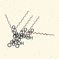 CCCCCCCCCCCCCC(=O)O[C@H](CCCCCCCCCCC)CC(=O)N[C@H](CO)CO[C@@H]1O[C@H](CO)[C@@H](OP(=O)(Oc2ccccc2)Oc2ccccc2)[C@H](OC(=O)C[C@@H](CCCCCCCCCCC)OC(=O)CCCCCCCCCCCCC)[C@H]1NC(=O)C[C@@H](CCCCCCCCCCC)OC(=O)CCCCCCCCCCCCC